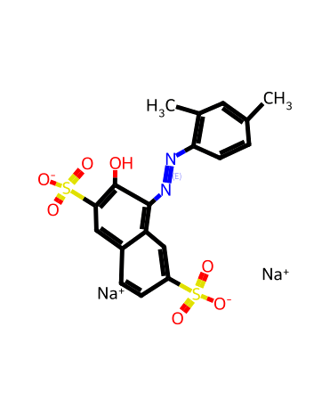 Cc1ccc(/N=N/c2c(O)c(S(=O)(=O)[O-])cc3ccc(S(=O)(=O)[O-])cc23)c(C)c1.[Na+].[Na+]